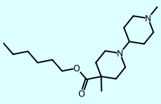 CCCCCCOC(=O)C1(C)CCN(C2CCN(C)CC2)CC1